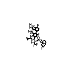 N#Cc1c(N)sc2c(F)ccc(-c3c(F)c4c5c(c3Cl)=NC(C3CC3)NC=5N(CC(F)F)C=C(OC[C@@]35CCCN3C[C@H](F)C5)O4)c12